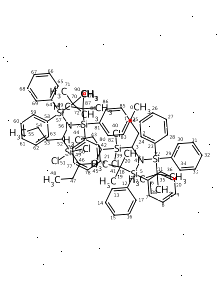 CCCC(N([Si](c1ccccc1)(c1ccccc1)C(C)(C)C)[Si](c1ccccc1)(c1ccccc1)C(C)(C)C)[Si](Cl)(Cl)C(CC)OC(CC)[Si](Cl)(Cl)C(CCC)N([Si](c1ccccc1)(c1ccccc1)C(C)(C)C)[Si](c1ccccc1)(c1ccccc1)C(C)(C)C